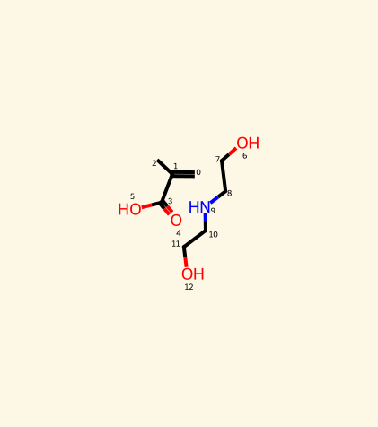 C=C(C)C(=O)O.OCCNCCO